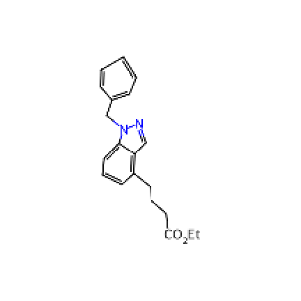 CCOC(=O)CCCc1cccc2c1cnn2Cc1ccccc1